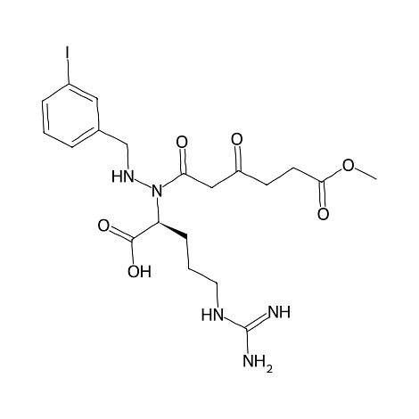 COC(=O)CCC(=O)CC(=O)N(NCc1cccc(I)c1)[C@@H](CCCNC(=N)N)C(=O)O